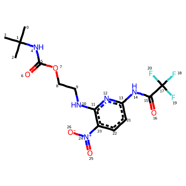 CC(C)(C)NC(=O)OCCNc1nc(NC(=O)C(F)(F)F)ccc1[N+](=O)[O-]